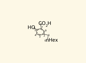 CCCCCCCc1ccc(O)c(C(=O)O)c1